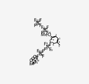 COC1=CC=C(C)C[CH+]1.F[B-](F)(F)F.F[B-](F)(F)F.F[B-](F)(F)F.F[B-](F)(F)F.[C]=O.[C]=O.[C]=O.[Fe+3]